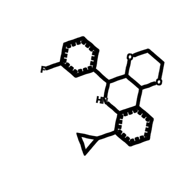 Fc1cccc(C2Nc3c(C4CC4)cccc3C3OCCOC23)c1